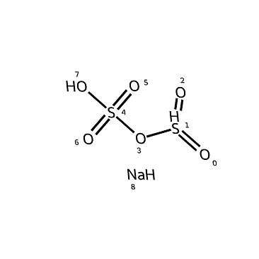 O=[SH](=O)OS(=O)(=O)O.[NaH]